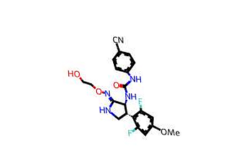 COc1cc(F)c([C@@H]2CNC(=NOCCO)[C@H]2NC(=O)Nc2ccc(C#N)cc2)c(F)c1